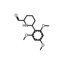 COc1cc(OC)c(C2CCCC(C=O)N2)c(OC)c1